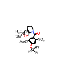 COc1cc(C(=O)N2CCCC[C@H]2CO[Si](C)(C)C(C)(C)C)c([N+](=O)[O-])cc1O[Si](C(C)C)(C(C)C)C(C)C